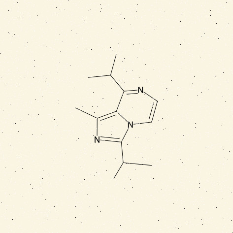 Cc1nc(C(C)C)n2ccnc(C(C)C)c12